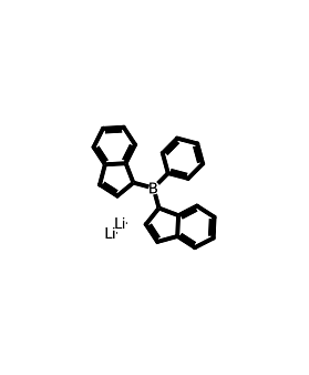 C1=CC(B(c2ccccc2)C2C=Cc3ccccc32)c2ccccc21.[Li].[Li]